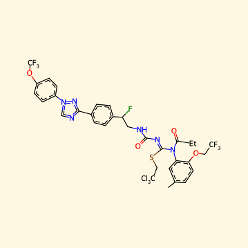 CCC(=O)N(/C(=N/C(=O)NCC(F)c1ccc(-c2ncn(-c3ccc(OC(F)(F)F)cc3)n2)cc1)SCC(Cl)(Cl)Cl)c1cc(C)ccc1OCC(F)(F)F